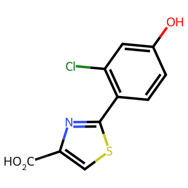 O=C(O)c1csc(-c2ccc(O)cc2Cl)n1